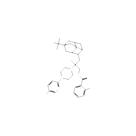 CC(CNC(=O)c1ccccc1O)(CC1C2CC3CC1CC(C(C)(C)O)(C3)C2)N1CCN(c2ccc(C(F)(F)F)cn2)CC1